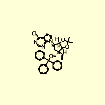 C=C[C@@]1(COC(c2ccccc2)(c2ccccc2)c2ccccc2)C[C@@H](n2ccc3c(Cl)ncnc32)[C@@H]2OC(C)(C)O[C@@H]21